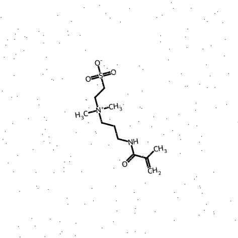 C=C(C)C(=O)NCCC[N+](C)(C)CCS(=O)(=O)[O-]